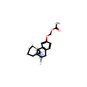 CC(C)(C)C(=O)OCOc1ccc2c(c1)[C@@]13CCCC[C@H]1[C@@H](C2)NCC3